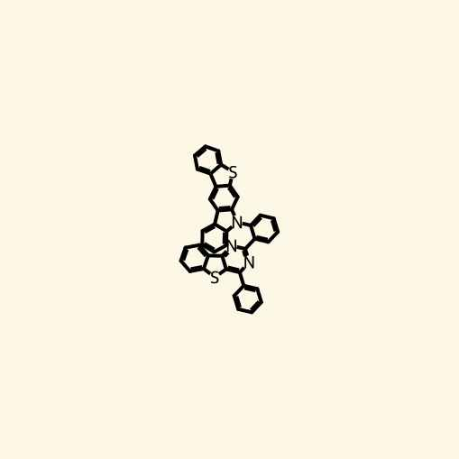 c1ccc(-c2nc(-c3ccccc3-n3c4ccccc4c4cc5c(cc43)sc3ccccc35)nc3c2sc2ccccc23)cc1